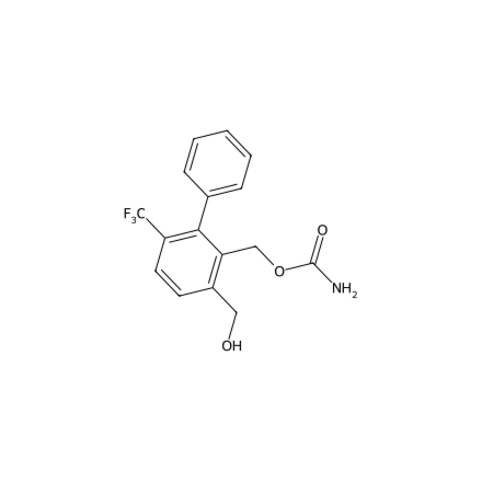 NC(=O)OCc1c(CO)ccc(C(F)(F)F)c1-c1ccccc1